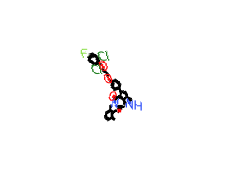 Cc1cccc(CN(C(=O)C2C(c3ccc(OCCOc4c(Cl)cc(F)cc4Cl)cc3)CC3CNCC32)C2CC2)c1C